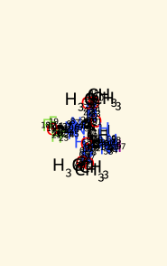 CCc1cc(Nc2nccn3c(-c4ccc(OC(F)F)c(F)c4F)cnc23)ccc1C(=O)N1CCN(C(=O)OC(C)(C)C)CC1.CCc1cc(Nc2nccn3c(I)cnc23)ccc1C(=O)N1CCN(C(=O)OC(C)(C)C)CC1